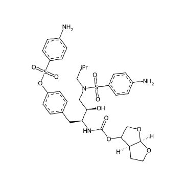 CC(C)CN(C[C@@H](O)[C@H](Cc1ccc(OS(=O)(=O)c2ccc(N)cc2)cc1)NC(=O)OC1CO[C@H]2OCC[C@@H]12)S(=O)(=O)c1ccc(N)cc1